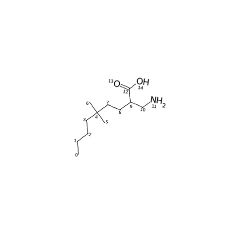 CCCCC(C)(C)CCC(CN)C(=O)O